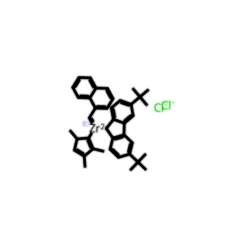 CC1=CC(C)[C](/[Zr+2](=[CH]/c2cccc3ccccc23)[CH]2c3ccc(C(C)(C)C)cc3-c3cc(C(C)(C)C)ccc32)=C1C.[Cl-].[Cl-]